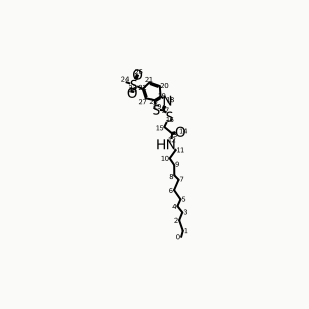 CCCCCCCCCCCCNC(=O)CSc1nc2ccc(S(C)(=O)=O)cc2s1